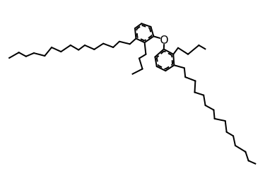 CCCCCCCCCCCCCCCc1cccc(Oc2cccc(CCCCCCCCCCCCCCC)c2CCCC)c1CCCC